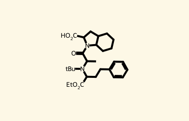 CCOC(=O)C(CCc1ccccc1)N(C(C)C(=O)N1C(C(=O)O)CC2CCCCC21)C(C)(C)C